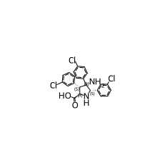 N[C@]1(c2ccc(Cl)cc2)[C@H](c2cccc(Cl)c2)N[C@@H](C(=O)O)[C@@H]1c1cccc(Cl)c1